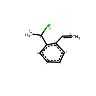 C=Cc1ccccc1C(C)Br